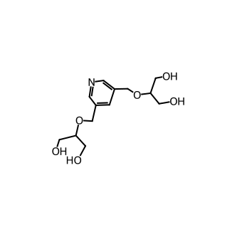 OCC(CO)OCc1cncc(COC(CO)CO)c1